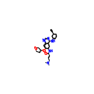 C#Cc1cccc(Nc2ncnc3cc(OC4CCOC4)c(NC(=O)C=CCN(C)C)cc23)c1